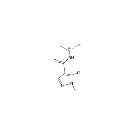 CC(C)[C@@H](C)NC(=O)c1cnn(C)c1Cl